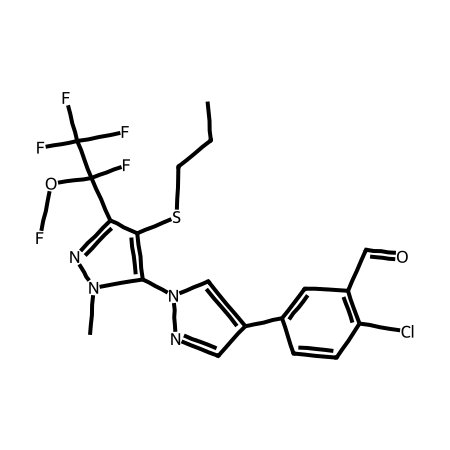 CCCSc1c(C(F)(OF)C(F)(F)F)nn(C)c1-n1cc(-c2ccc(Cl)c(C=O)c2)cn1